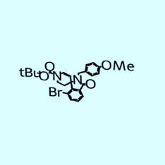 COc1ccc(CN2C(=O)c3cccc(Br)c3C23C=CN(C(=O)OC(C)(C)C)CC3)cc1